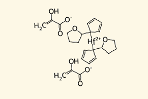 C1=C[C]([Hf+2][C]2(C3CCCO3)C=CC=C2)(C2CCCO2)C=C1.C=C(O)C(=O)[O-].C=C(O)C(=O)[O-]